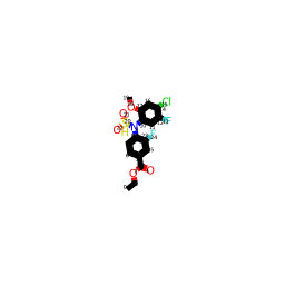 CCOC(=O)c1ccc(N(c2cc(F)c(Cl)cc2OC)[SH](=O)=O)c(F)c1